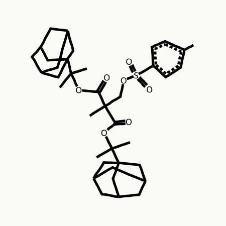 Cc1ccc(S(=O)(=O)OCC(C)(C(=O)OC(C)(C)C23CC4CC(CC(C4)C2)C3)C(=O)OC(C)(C)C23CC4CC(CC(C4)C2)C3)cc1